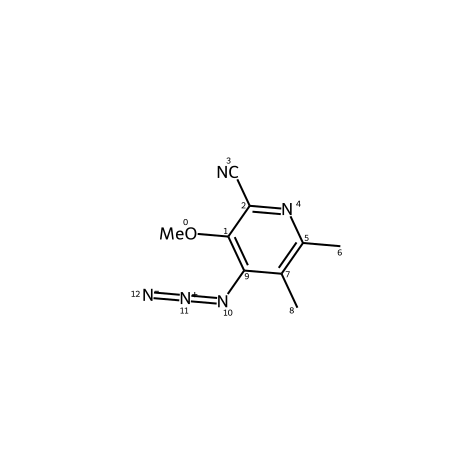 COc1c(C#N)nc(C)c(C)c1N=[N+]=[N-]